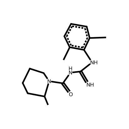 Cc1cccc(C)c1NC(=N)NC(=O)N1CCCCC1C